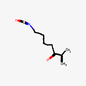 C=C(C)C(=O)CCCCN=C=O